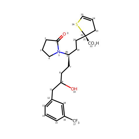 O=C1CCCN1[C@H](CCC(O)Cc1cccc(C(F)(F)F)c1)CC[C@@]1(C(=O)O)CC=CS1